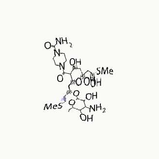 CS/C=C/[C@@H](C[C@@H]1O[C@](O)(C[C@@H](O)SC)C[C@H](O)C1C(=O)N1CCN(C(N)=O)CC1)OC1OC(C)C(O)C(N)C1O